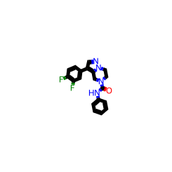 O=C(Nc1ccccc1)N1CCn2ncc(-c3ccc(F)c(F)c3)c2C1